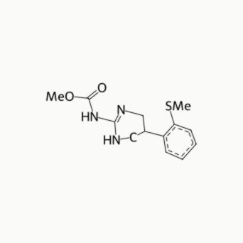 COC(=O)NC1=NCC(c2ccccc2SC)CN1